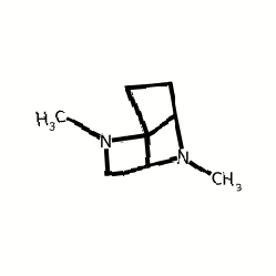 CN1C2CCC23C1CN3C